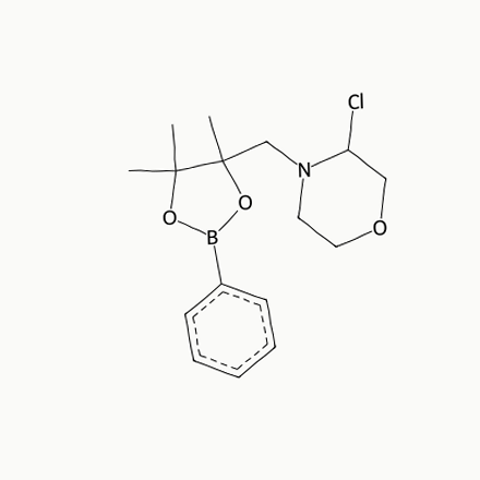 CC1(C)OB(c2ccccc2)OC1(C)CN1CCOCC1Cl